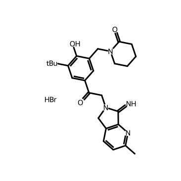 Br.Cc1ccc2c(n1)C(=N)N(CC(=O)c1cc(CN3CCCCC3=O)c(O)c(C(C)(C)C)c1)C2